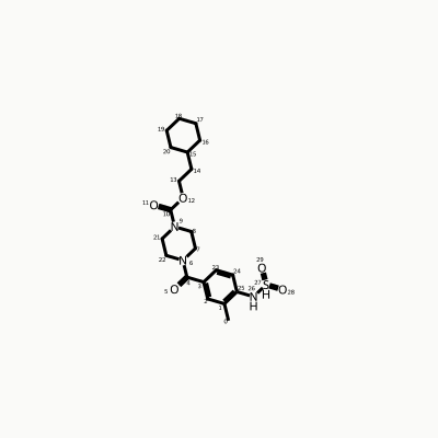 Cc1cc(C(=O)N2CCN(C(=O)OCCC3CCCCC3)CC2)ccc1N[SH](=O)=O